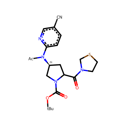 CC(=O)N(c1ccc(C#N)cn1)[C@H]1CC(C(=O)N2CCSC2)N(C(=O)OC(C)(C)C)C1